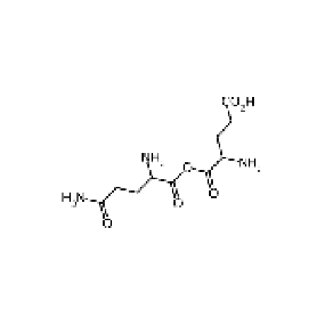 NC(=O)CCC(N)C(=O)OC(=O)C(N)CCC(=O)O